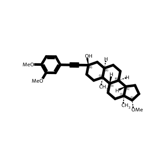 COc1ccc(C#C[C@@]2(O)CC[C@@]3(C)[C@H](CC[C@@H]4[C@@H]3CC[C@]3(C)[C@@H](OC)CC[C@@H]43)C2)cc1OC